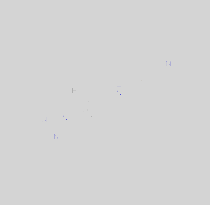 O=C(NCCC1[C@H]2CN(c3ncccn3)C[C@@H]12)c1cc2ccncc2s1